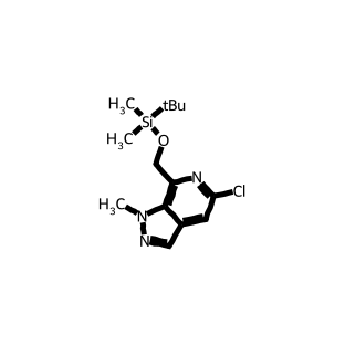 Cn1ncc2cc(Cl)nc(CO[Si](C)(C)C(C)(C)C)c21